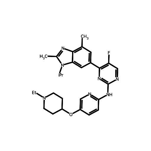 CCN1CCC(Oc2ccc(Nc3ncc(F)c(-c4cc(C)c5nc(C)n(C(C)C)c5c4)n3)nc2)CC1